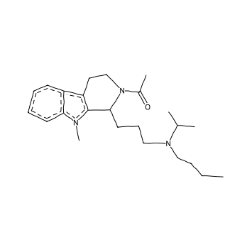 CCCCN(CCCC1c2c(c3ccccc3n2C)CCN1C(C)=O)C(C)C